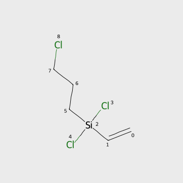 C=C[Si](Cl)(Cl)CCCCl